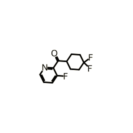 O=C(c1ncccc1F)C1CCC(F)(F)CC1